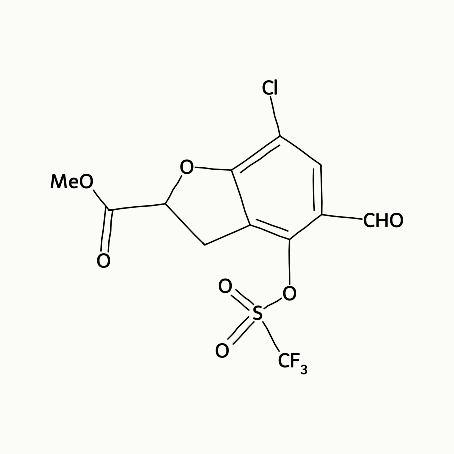 COC(=O)C1Cc2c(c(Cl)cc(C=O)c2OS(=O)(=O)C(F)(F)F)O1